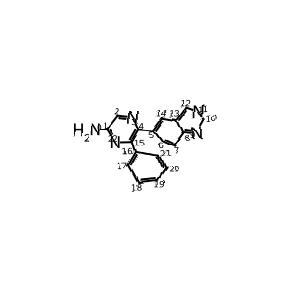 Nc1cnc(-c2ccc3ncncc3c2)c(-c2ccccc2)n1